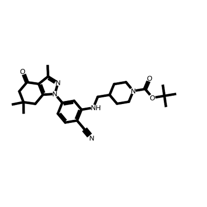 Cc1nn(-c2ccc(C#N)c(NCC3CCN(C(=O)OC(C)(C)C)CC3)c2)c2c1C(=O)CC(C)(C)C2